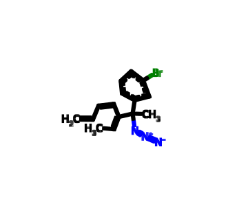 C=C/C=C\C(=C/C)C(C)(N=[N+]=[N-])c1cccc(Br)c1